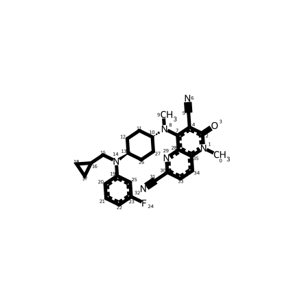 Cn1c(=O)c(C#N)c(N(C)[C@H]2CC[C@H](N(CC3CC3)c3cccc(F)c3)CC2)c2nc(C#N)ccc21